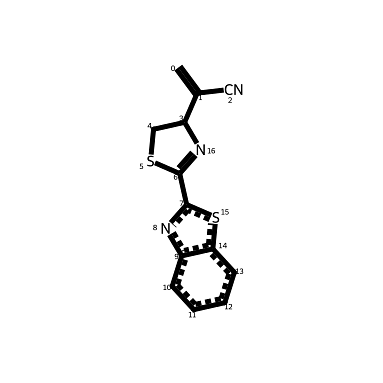 C=C(C#N)C1CSC(c2nc3ccccc3s2)=N1